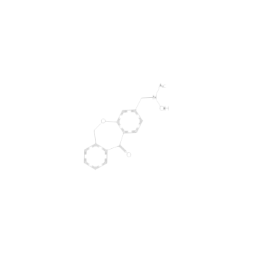 CC(=O)N(O)Cc1ccc2c(c1)OCc1ccccc1C2=O